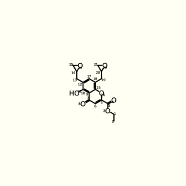 CCOC(=O)c1cc(=O)c2c(O)c(CC3CO3)cc(CC3CO3)c2o1